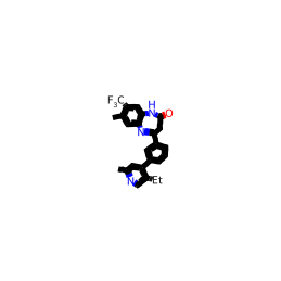 CCc1cnc(C)cc1-c1cccc(C2=Nc3cc(C)c(C(F)(F)F)cc3NC(=O)C2)c1